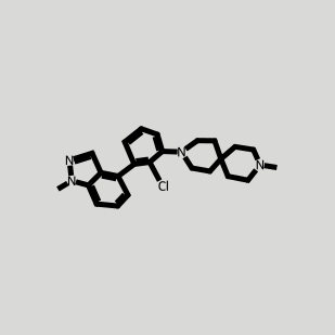 CN1CCC2(CC1)CCN(c1cccc(-c3cccc4c3cnn4C)c1Cl)CC2